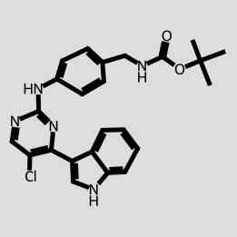 CC(C)(C)OC(=O)NCc1ccc(Nc2ncc(Cl)c(-c3c[nH]c4ccccc34)n2)cc1